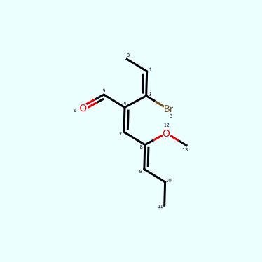 C\C=C(Br)/C(C=O)=C\C(=C\CC)OC